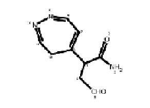 NC(=O)C(CC=O)C1=CC=NN=CC1